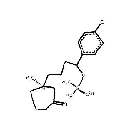 CC(C)(C)[Si](C)(C)OC(CCC[C@]1(C)CCCC(=O)C1)c1ccc(Cl)cc1